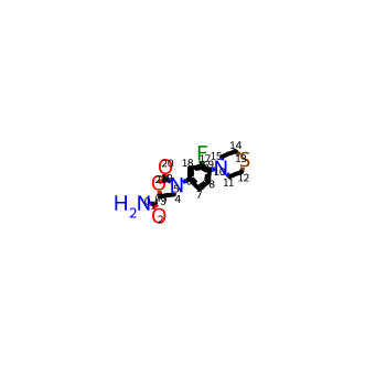 NC(=O)[C@H]1CN(c2ccc(N3CCSCC3)c(F)c2)C(=O)O1